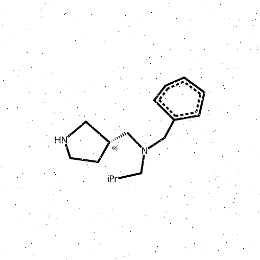 CC(C)CN(Cc1ccccc1)C[C@@H]1CCNC1